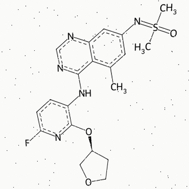 Cc1cc(N=S(C)(C)=O)cc2ncnc(Nc3ccc(F)nc3O[C@H]3CCOC3)c12